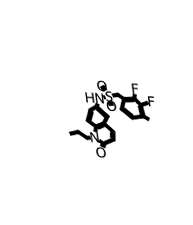 CCCn1c(=O)ccc2cc(NS(=O)(=O)Cc3ccc(C)c(F)c3F)ccc21